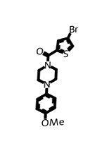 COc1ccc(N2CCN(C(=O)c3cc(Br)cs3)CC2)cc1